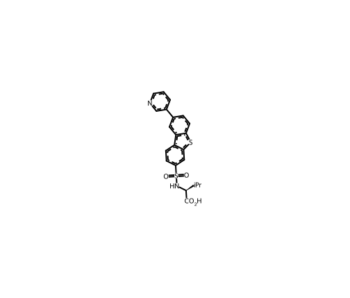 CC(C)[C@H](NS(=O)(=O)c1ccc2c(c1)sc1ccc(-c3cccnc3)cc12)C(=O)O